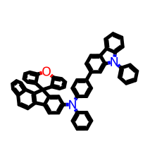 c1ccc(N(c2ccc(-c3ccc4c5ccccc5n(-c5ccccc5)c4c3)cc2)c2ccc3c(c2)C2(c4ccccc4Oc4ccccc42)c2c-3ccc3ccccc23)cc1